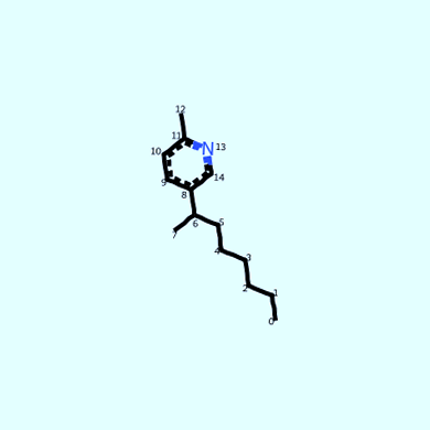 CCCCCCC(C)c1ccc(C)nc1